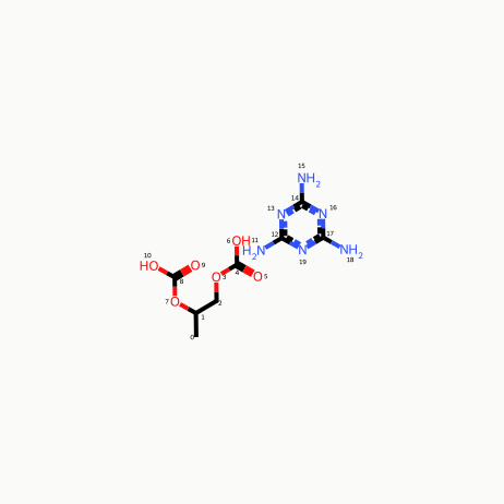 CC(COC(=O)O)OC(=O)O.Nc1nc(N)nc(N)n1